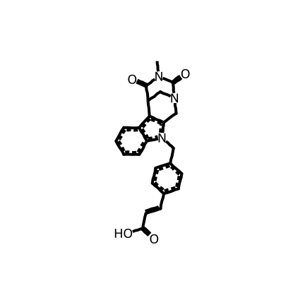 CN1C(=O)C2CN(Cc3c2c2ccccc2n3Cc2ccc(C=CC(=O)O)cc2)C1=O